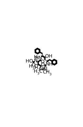 CC[C@H](C)[C@H](NC(=O)O)C(=O)N[C@@H](Cc1ccccc1)[C@@H](O)C[C@H](Cc1ccccc1)NC(=O)OC(C)(C)C